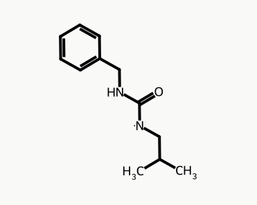 CC(C)C[N]C(=O)NCc1ccccc1